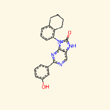 O=c1[nH]c2cnc(-c3cccc(O)c3)nc2n1-c1cccc2c1CCCC2